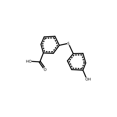 O=C(O)c1cccc(Sc2ccc(O)cc2)c1